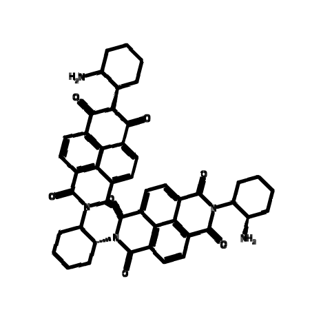 NC1CCCC[C@H]1C1C(=O)c2ccc3c4c(ccc(c24)C1=O)C(=O)N(C1CCCC[C@H]1N1C(=O)c2ccc4c5c(ccc(c25)C1=O)C(=O)N(C1CCCC[C@H]1N)C4=O)C3=O